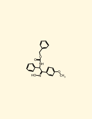 COc1ccc(C(=NO)C(NC(=O)OCc2ccccc2)c2ccccc2)cc1